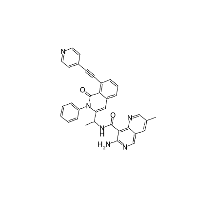 Cc1cnc2c(C(=O)NC(C)c3cc4cccc(C#Cc5ccncc5)c4c(=O)n3-c3ccccc3)c(N)ncc2c1